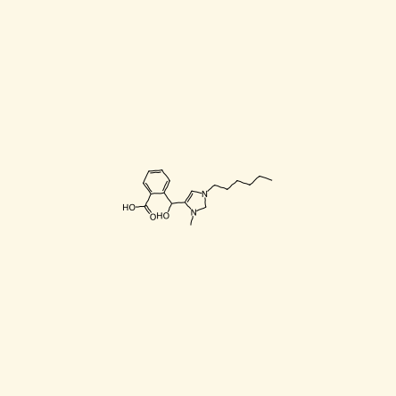 CCCCCCN1C=C(C(O)c2ccccc2C(=O)O)N(C)C1